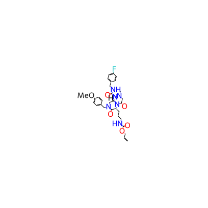 C=CCOC(=O)NCCC[C@H]1C(=O)N(Cc2ccc(OC)cc2)C[C@H]2N1C(=O)CN(C)N2C(=O)NCc1ccc(F)cc1